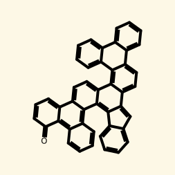 O=C1C=CC=c2c1c1ccccc1c1c2ccc2c1c1c(c3ccc4c5ccccc5c5ccccc5c4c32)=Cc2ccccc2-1